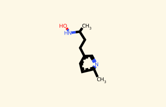 Cc1ccc(CCC(C)NO)cn1